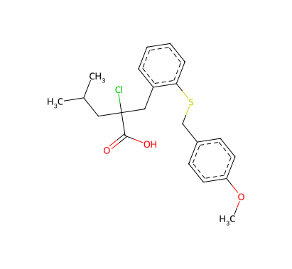 COc1ccc(CSc2ccccc2CC(Cl)(CC(C)C)C(=O)O)cc1